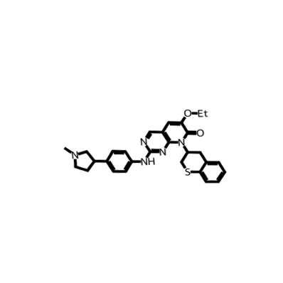 CCOc1cc2cnc(Nc3ccc(C4CCN(C)C4)cc3)nc2n(C2CSc3ccccc3C2)c1=O